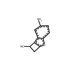 N#CC1Cc2sc3ccc(N)cc3c21